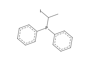 CC(I)P(c1ccccc1)c1ccccc1